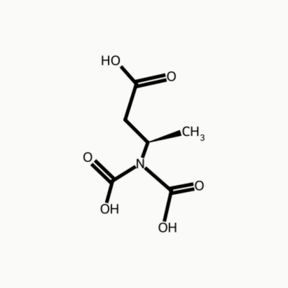 C[C@H](CC(=O)O)N(C(=O)O)C(=O)O